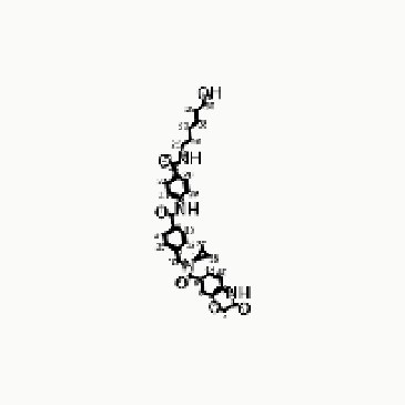 O=C1COc2cc(C(=O)N(Cc3ccc(C(=O)Nc4ccc(C(=O)NCCCCCCO)cc4)cc3)C3CC3)ccc2N1